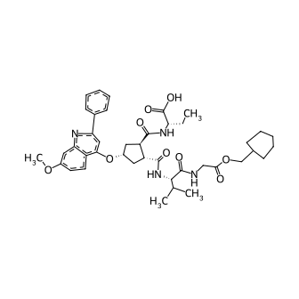 CC[C@H](NC(=O)[C@@H]1C[C@@H](Oc2cc(-c3ccccc3)nc3cc(OC)ccc23)C[C@H]1C(=O)N[C@H](C(=O)NCC(=O)OCC1CCCCC1)C(C)C)C(=O)O